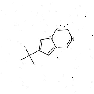 CC(C)(C)c1cc2cnccn2c1